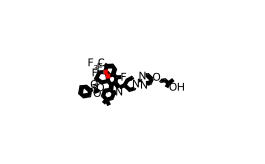 CC(C)(O)CCOc1cnc(N2CCC(c3nc4c(c(C5CCC(F)(F)CC5)c3C(F)c3ccc(C(F)(F)F)cc3)[C@@H](OS(=O)(=O)c3ccccc3)CC(C)(C)C4)CC2)nc1